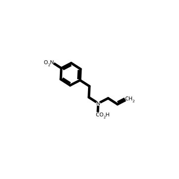 C=CCN(CCc1ccc([N+](=O)[O-])cc1)C(=O)O